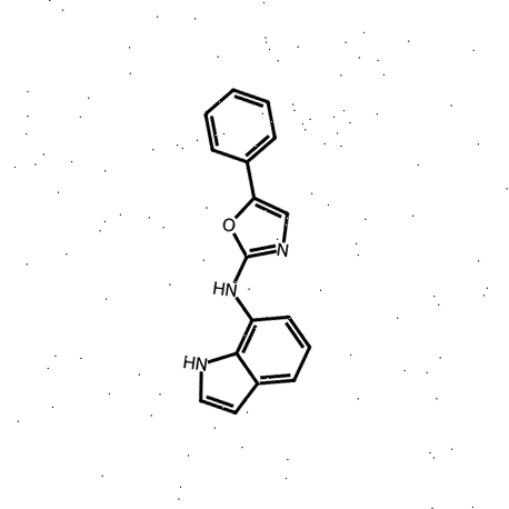 c1ccc(-c2cnc(Nc3cccc4cc[nH]c34)o2)cc1